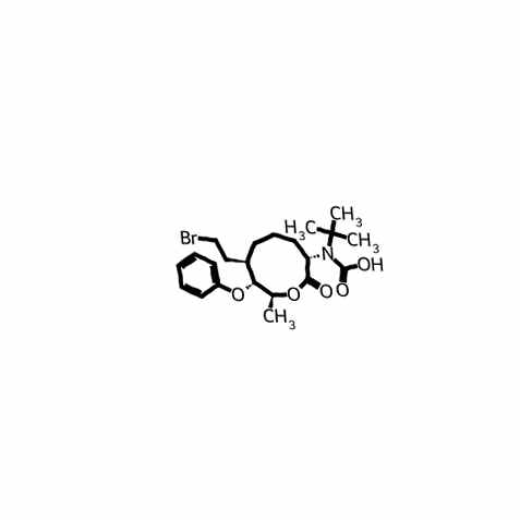 C[C@@H]1OC(=O)[C@@H](N(C(=O)O)C(C)(C)C)CCC[C@H](CCBr)[C@H]1Oc1ccccc1